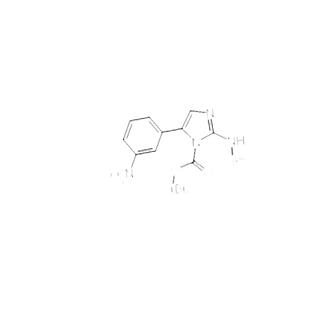 CC(C)Nc1ncc(-c2cccc([N+](=O)[O-])c2)n1C(=O)OC(C)(C)C